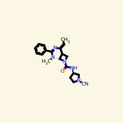 C=N/C(=N\C(=C/C)C1CN(C(=O)N[C@@H]2CCN(C#N)C2)C1)c1ccccc1